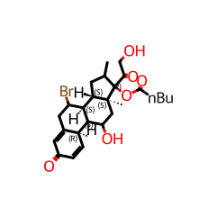 CCCCC(=O)O[C@]1(C(=O)CO)C(C)C[C@H]2[C@@H]3C(Br)CC4=CC(=O)C=C[C@]4(C)[C@H]3C(O)C[C@@]21C